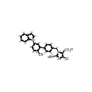 CCCCc1nc(Cl)c(C(=O)O)n1Cc1ccc(-c2cc(-n3ccc4ccccc43)ccc2C#N)cc1